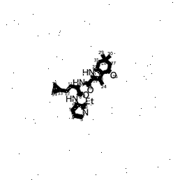 CCc1ncccc1NC(=O)C(CCC1CC1)NC(=O)c1[nH]c2c(c1C)C(=O)CC(C)(C)C2